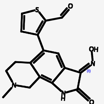 CN1CCc2c(-c3ccsc3C=O)cc3c(c2C1)NC(=O)/C3=N/O